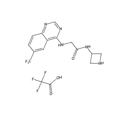 O=C(CNc1ncnc2ccc(C(F)(F)F)cc12)NC1CNC1.O=C(O)C(F)(F)F